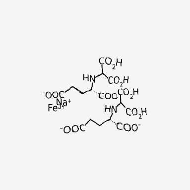 O=C([O-])CC[C@H](NC(C(=O)O)C(=O)O)C(=O)[O-].O=C([O-])CC[C@H](NC(C(=O)O)C(=O)O)C(=O)[O-].[Fe+3].[Na+]